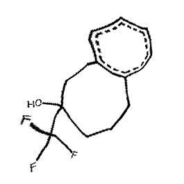 OC1(C(F)(F)F)CCCc2ccccc2C1